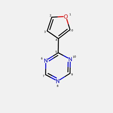 [c]1occc1-c1ncncn1